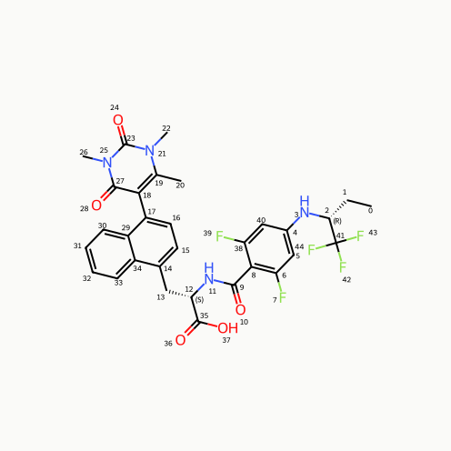 CC[C@@H](Nc1cc(F)c(C(=O)N[C@@H](Cc2ccc(-c3c(C)n(C)c(=O)n(C)c3=O)c3ccccc23)C(=O)O)c(F)c1)C(F)(F)F